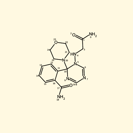 NC(=O)CNN1C=NC=NC1(c1ccccc1C(N)=O)N1CCOCC1